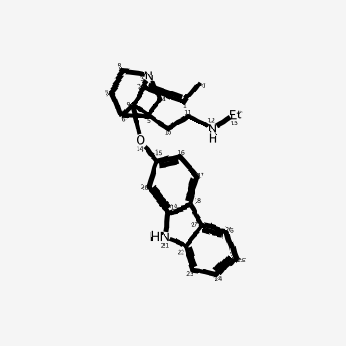 CC=C1N2CCC(CC2)C1(CCNCC)Oc1ccc2c(c1)[nH]c1ccccc12